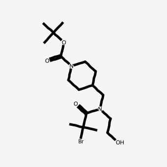 CC(C)(C)OC(=O)N1CCC(CN(CCO)C(=O)C(C)(C)Br)CC1